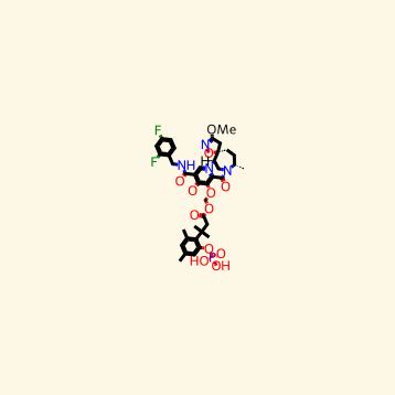 COC1=NO[C@@]2(CC[C@H](C)N3C[C@H]2n2cc(C(=O)NCc4ccc(F)cc4F)c(=O)c(OCOC(=O)CC(C)(C)c4c(C)cc(C)cc4OP(=O)(O)O)c2C3=O)C1